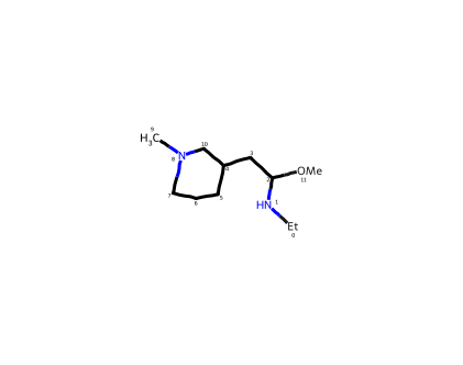 CCNC(CC1CCCN(C)C1)OC